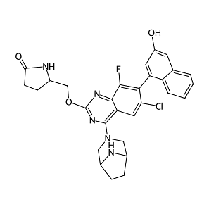 O=C1CCC(COc2nc(N3CC4CCC(C3)N4)c3cc(Cl)c(-c4cc(O)cc5ccccc45)c(F)c3n2)N1